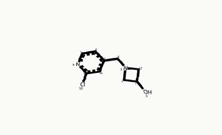 OC1CN(Cc2ccnc(Cl)c2)C1